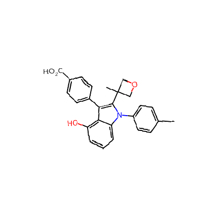 Cc1ccc(-n2c(C3(C)COC3)c(-c3ccc(C(=O)O)cc3)c3c(O)cccc32)cc1